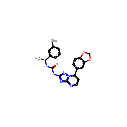 COc1cccc([C@H](C)NC(=O)Nc2nc3nccc(-c4ccc5c(c4)OCO5)n3n2)c1